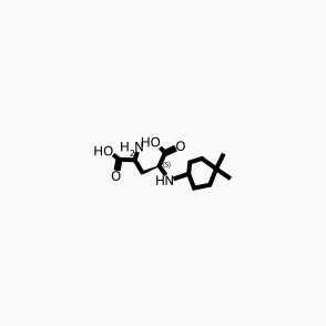 CC1(C)CCC(N[C@@H](CC(N)C(=O)O)C(=O)O)CC1